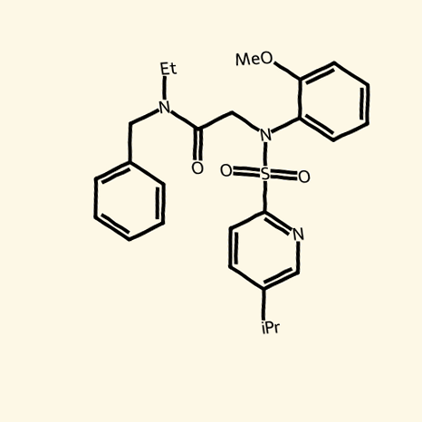 CCN(Cc1ccccc1)C(=O)CN(c1ccccc1OC)S(=O)(=O)c1ccc(C(C)C)cn1